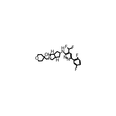 OC1(CN2C[C@H]3C[C@H](Nc4nnc(-c5cc(F)ccc5F)cc4C(F)F)C[C@H]3C2)CCOCC1